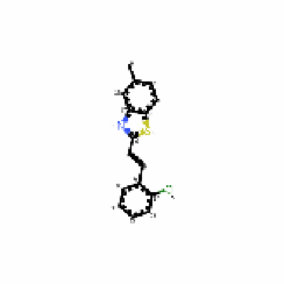 Cc1ccc2sc(/C=C/c3ccccc3Cl)nc2c1